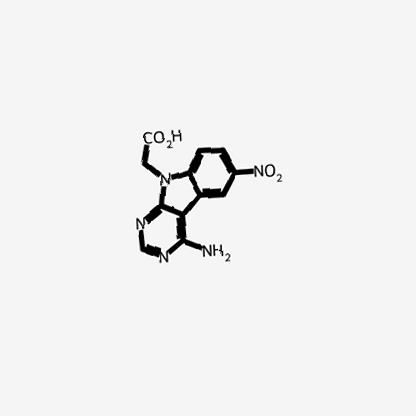 Nc1ncnc2c1c1cc([N+](=O)[O-])ccc1n2CC(=O)O